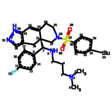 CN(C)CCCNC(c1ccc(F)cc1)[C@@]12Cc3cn[nH]c3C=C1CCN(S(=O)(=O)c1ccc(C(C)(C)C)cc1)C2